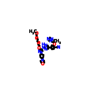 COCCOCCOCCOc1nn(C2CCC(N3CCOCC3)CC2)cc1Nc1ncc(-c2ccc(C#N)c(O[C@@H](C)Cn3cncn3)c2)cn1